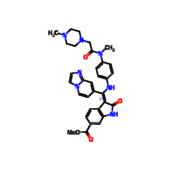 COC(=O)c1ccc2c(c1)NC(=O)/C2=C(\Nc1ccc(N(C)C(=O)CN2CCN(C)CC2)cc1)c1ccn2ccnc2c1